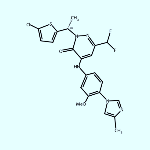 COc1cc(Nc2cc(C(F)F)nn([C@@H](C)c3ccc(Cl)s3)c2=O)ccc1-n1cnc(C)c1